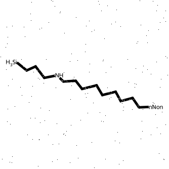 CCCCCCCCCCCCCCCCCCNCCC[SiH3]